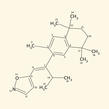 Cc1cc2c(cc1C(=Cc1ccno1)C(C)C)C(C)(C)CCC2(C)C